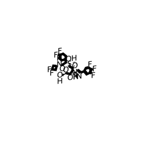 CO[C@@H]1[C@@H](n2cc(-c3cc(F)c(F)c(F)c3)nn2)[C@@H](O)[C@@H](CO)O[C@H]1S[C@H](C(=O)NC1CC(F)(F)C1)C1(O)CCC(F)(F)CC1